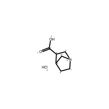 Cl.O=C(O)C1CN2CCC1C2